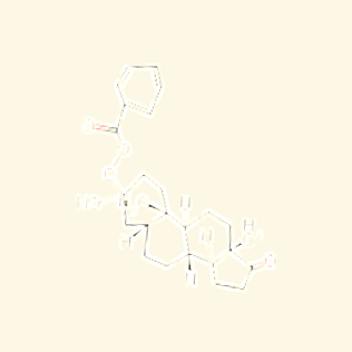 C[C@]12CC[C@](O)(OOC(=O)c3ccccc3)C[C@H]1CC[C@@H]1[C@@H]2CC[C@]2(C)C(=O)CC[C@@H]12